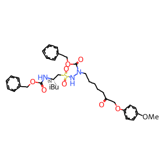 CCC(C)[C@@H](CS(=O)(=O)NN(CCCCCC(=O)COc1ccc(OC)cc1)C(=O)OCc1ccccc1)NC(=O)OCc1ccccc1